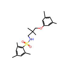 Cc1cc(C)cc(OCC(C)(C)CNS(=O)(=O)c2c(C)cc(C)cc2C)c1